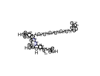 C/C=C(/C=C/C=C1/N(CCOCCOCCOCCOCCOCCOCCC(=O)ON2C(=O)CCC2=O)c2ccc(S(=O)(=O)O)cc2C1(C)CCCS(=O)(=O)O)c1ccc(N(CC)CCCS(=O)(=O)O)cc1O